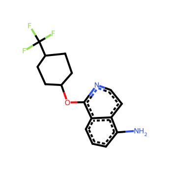 Nc1cccc2c(OC3CCC(C(F)(F)F)CC3)nccc12